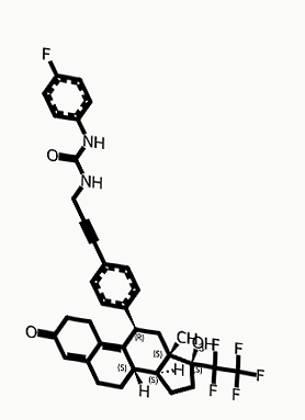 C[C@]12C[C@H](c3ccc(C#CCNC(=O)Nc4ccc(F)cc4)cc3)C3=C4CCC(=O)C=C4CC[C@H]3[C@@H]1CC[C@@]2(O)C(F)(F)C(F)(F)F